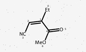 CCC(=CC#N)C(=O)OC